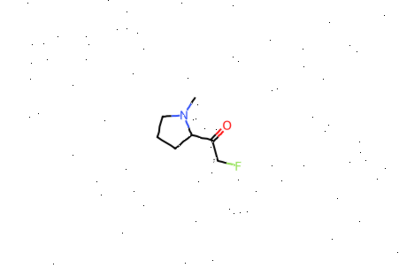 CN1CCCC1C(=O)[C]F